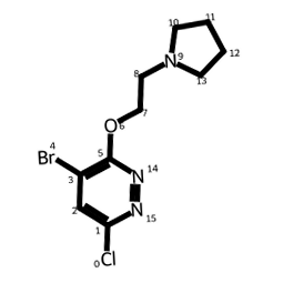 Clc1cc(Br)c(OCCN2CCCC2)nn1